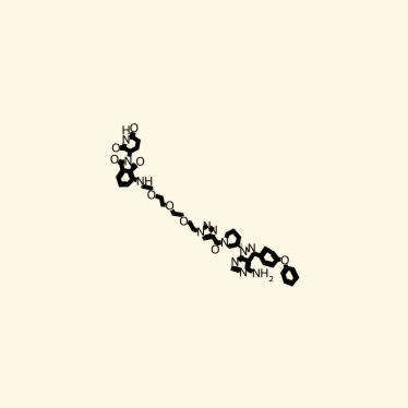 Nc1ncnc2c1c(-c1ccc(Oc3ccccc3)cc1)nn2[C@@H]1CCCN(C(=O)c2cn(CCOCCOCCOCCNc3cccc4c3C(=O)N(C3CCC(=O)NC3=O)C4=O)nn2)C1